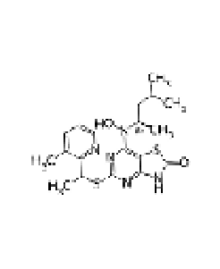 Cc1cccnc1C(C)Sc1nc(N(O)[C@H](C)CC(C)C)c2sc(=O)[nH]c2n1